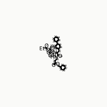 CCC(=O)OC(OP(=O)(O)CNC(Cc1ccc(-c2ccccc2)cc1)C(=O)NCCC(=O)OCc1ccccc1)C(C)C